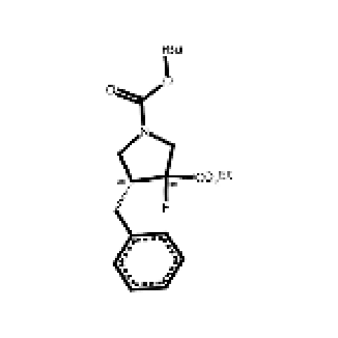 CCOC(=O)[C@]1(F)CN(C(=O)OC(C)(C)C)C[C@H]1Cc1ccccc1